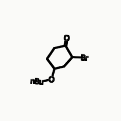 CCCCOC1CCC(=O)C(Br)C1